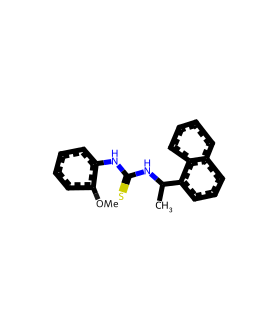 COc1ccccc1NC(=S)NC(C)c1cccc2ccccc12